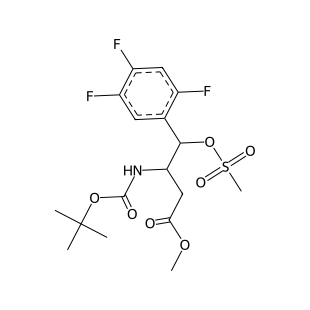 COC(=O)CC(NC(=O)OC(C)(C)C)C(OS(C)(=O)=O)c1cc(F)c(F)cc1F